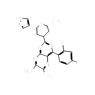 Cc1nc2nc(C3C[C@@H](C)O[C@@H](c4cn[nH]c4)C3)nc(-c3ccc(F)cc3F)c2nc1C